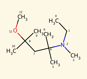 CCN(C)C(C)(C)CC(C)(C)OC